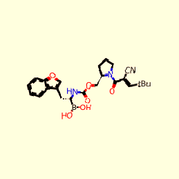 CC(C)(C)/C=C(\C#N)C(=O)N1CCC[C@@H]1COC(=O)N[C@@H](Cc1coc2ccccc12)B(O)O